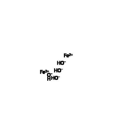 [Fe+2].[Fe+2].[OH-].[OH-].[OH-].[OH-]